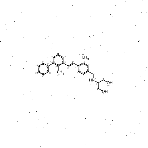 Cc1cc(CNC(CO)CO)ccc1C=Cc1cccc(-c2ccccc2)c1C